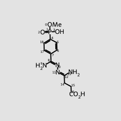 COP(=O)(O)c1ccc(/C(N)=N/N=C(\N)CCC(=O)O)cc1